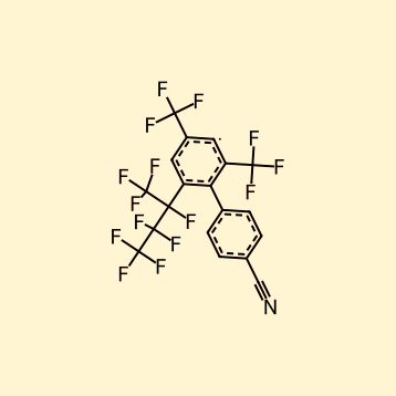 N#Cc1ccc(-c2c(C(F)(F)F)[c]c(C(F)(F)F)cc2C(F)(C(F)(F)F)C(F)(F)C(F)(F)F)cc1